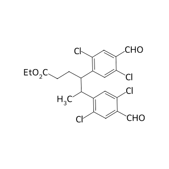 CCOC(=O)CCC(c1cc(Cl)c(C=O)cc1Cl)C(C)c1cc(Cl)c(C=O)cc1Cl